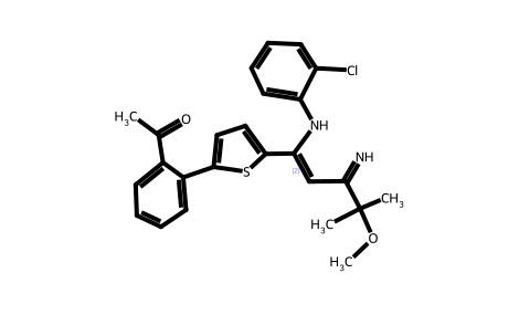 COC(C)(C)C(=N)/C=C(\Nc1ccccc1Cl)c1ccc(-c2ccccc2C(C)=O)s1